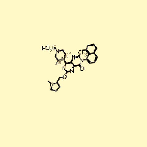 Cc1cccc2cccc(-n3c(C(F)(F)F)nc4c(N5[C@@H](C)CN(C(=O)O)C[C@@H]5C)nc(OCC5CCCN5C)nc4c3=O)c12